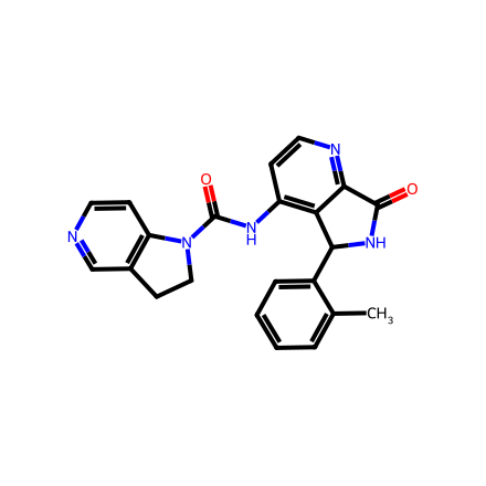 Cc1ccccc1C1NC(=O)c2nccc(NC(=O)N3CCc4cnccc43)c21